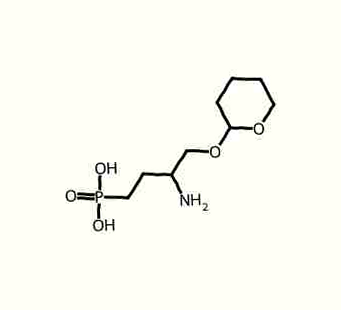 NC(CCP(=O)(O)O)COC1CCCCO1